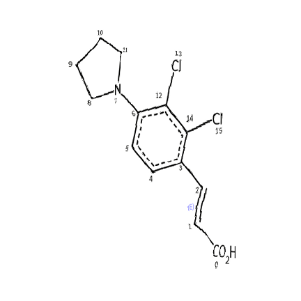 O=C(O)/C=C/c1ccc(N2CCCC2)c(Cl)c1Cl